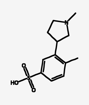 Cc1ccc(S(=O)(=O)O)cc1C1CCN(C)C1